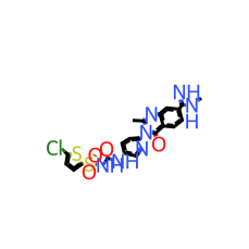 CNC(=N)c1ccc2c(=O)n(-c3ccc(NC(=O)NS(=O)(=O)c4ccc(Cl)s4)cn3)c(C)nc2c1